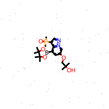 CC(C)(O)COc1cc(B2OC(C)(C)C(C)(C)O2)c2c(P(C)(C)=O)cnn2c1